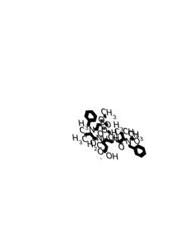 [CH2]C(CCNC(=O)C(C(C)C)N(Cc1ccccc1)C(C)=O)(CC(=O)O)NC(=O)C(C(C)C)N(Cc1ccccc1)C(=O)CP(=O)(OCC)OCC